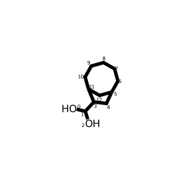 OC(O)C1CC2CCCCCC1C2